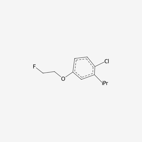 CC(C)c1cc(OCCF)ccc1Cl